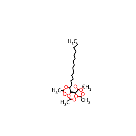 CCCCCCCCCCCCCCC(OC(C)=O)C(OC(C)=O)=C(OC(C)=O)C(=O)OC